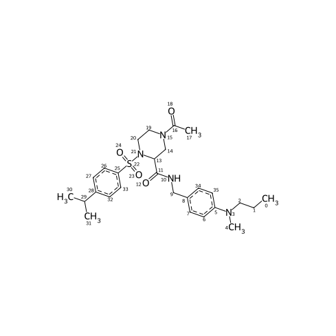 CCCN(C)c1ccc(CNC(=O)C2CN(C(C)=O)CCN2S(=O)(=O)c2ccc(C(C)C)cc2)cc1